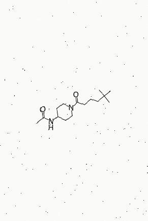 CC(=O)NC1CCN(C(=O)CCCC(C)(C)C)CC1